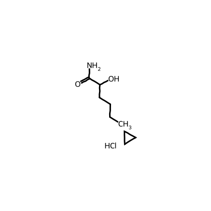 C1CC1.CCCCC(O)C(N)=O.Cl